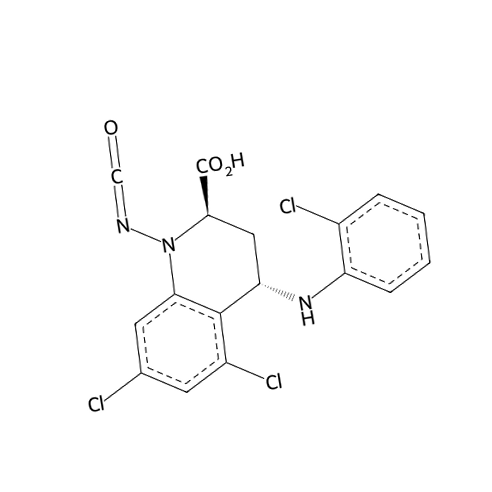 O=C=NN1c2cc(Cl)cc(Cl)c2[C@@H](Nc2ccccc2Cl)C[C@@H]1C(=O)O